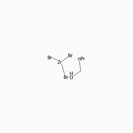 CCCCO.[Br][Zr]([Br])[Br]